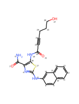 NC(=O)c1nc(Nc2ccc3ccccc3c2)sc1NC(=O)C#CCCCO